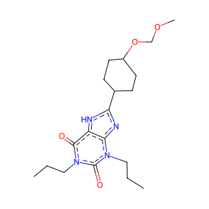 CCCn1c(=O)c2[nH]c(C3CCC(OCOC)CC3)nc2n(CCC)c1=O